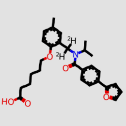 [2H]C([2H])(c1cc(C)ccc1OCCCCCC(=O)O)N(C(=O)c1ccc(-c2ccco2)cc1)C(C)C